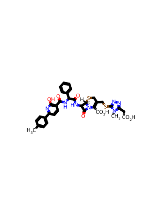 Cc1ccc(-c2ccc(C(=O)NC(C(=O)NC3C(=O)N4C(C(=O)O)=C(CSc5nnc(CC(=O)O)n5C)CS[C@@H]34)c3ccccc3)c(O)n2)cc1